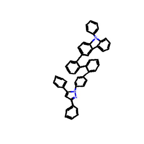 c1ccc(-c2cc(-c3ccccc3)n(-c3ccc(-c4ccccc4-c4ccccc4-c4ccc5c(c4)c4ccccc4n5-c4ccccc4)cc3)n2)cc1